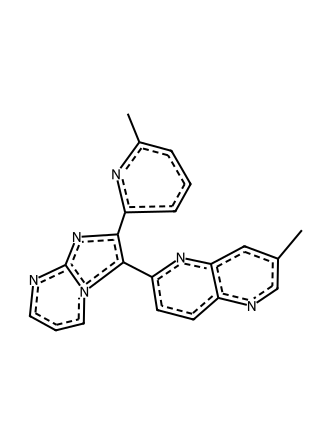 Cc1cnc2ccc(-c3c(-c4cccc(C)n4)nc4ncccn34)nc2c1